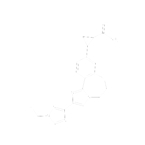 NC(=O)C1CC1c1ccc2c(c1)OCCn1cc(-c3ncn(CC(F)(F)F)n3)nc1-2